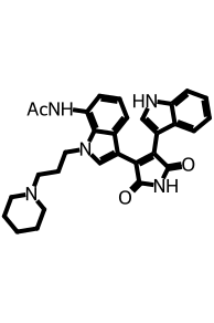 CC(=O)Nc1cccc2c(C3=C(c4c[nH]c5ccccc45)C(=O)NC3=O)cn(CCCN3CCCCC3)c12